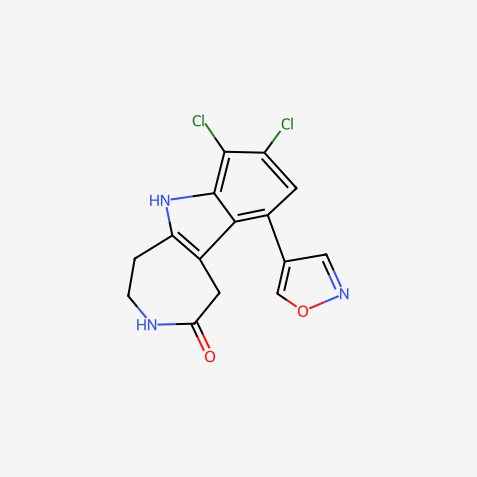 O=C1Cc2c([nH]c3c(Cl)c(Cl)cc(-c4cnoc4)c23)CCN1